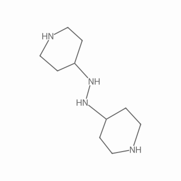 C1CC(NNC2CCNCC2)CCN1